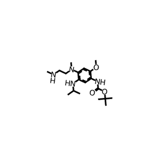 CNCCN(C)c1cc(OC)c(NC(=O)OC(C)(C)C)cc1NC(C)C